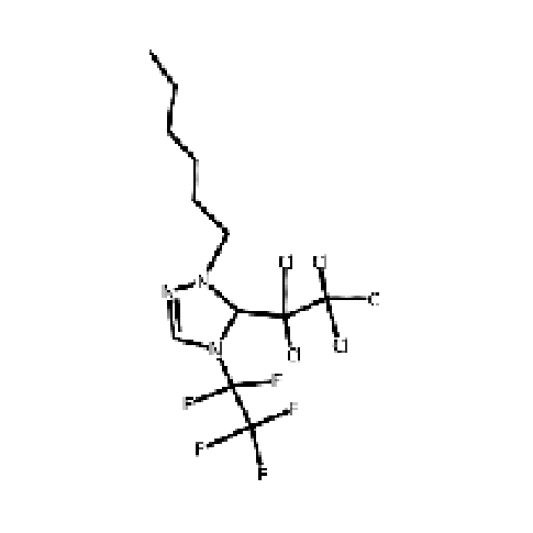 CCCCCCN1N=CN(C(F)(F)C(F)(F)F)C1C(Cl)(Cl)C(Cl)(Cl)Cl